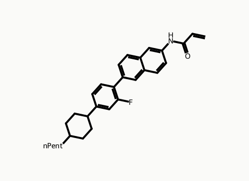 C=CC(=O)Nc1ccc2cc(-c3ccc(C4CCC(CCCCC)CC4)cc3F)ccc2c1